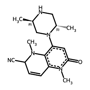 C[C@@H]1CN(c2cc(=O)n(C)c3c2N(C)C(C#N)C=C3)[C@@H](C)CN1